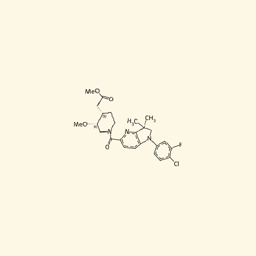 COC(=O)C[C@@H]1CCN(C(=O)c2ccc3c(n2)C(C)(C)CN3c2ccc(Cl)c(F)c2)C[C@@H]1OC